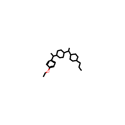 CCCC1CCC(C(C)C2CCC(C(C)c3ccc(OCC)cc3)CC2)CC1